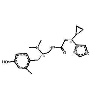 Cc1cc(O)ccc1C[C@@H](CNC(=O)C[C@H](c1cncs1)C1CC1)N(C)C